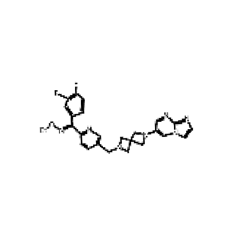 CCON=C(c1ccc(F)c(F)c1)c1ccc(CN2CC3(C2)CN(c2cnc4nccn4c2)C3)cn1